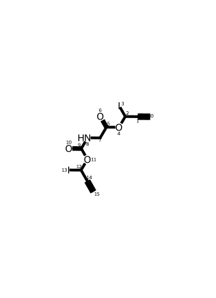 C#CC(I)OC(=O)CNC(=O)OC(I)C#C